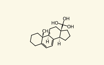 C[C@]12CCCCC1=CC=C1[C@@H]3CCC[C@@]3(C(O)(O)O)CC[C@@H]12